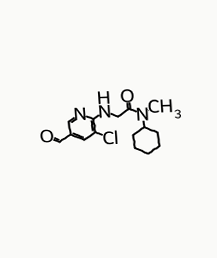 CN(C(=O)CNc1ncc(C=O)cc1Cl)C1CCCCC1